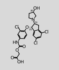 O=C(O)COC(=O)Nc1ccc(O[C@H]2c3cc(Cl)cc(Cl)c3C[C@@H]2N2CC[C@@H](O)C2)c(Cl)c1